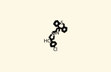 N=CC1(CCCN2CCC(O)(c3ccc(Cl)cc3)CC2)c2ccccc2CSc2ccccc21